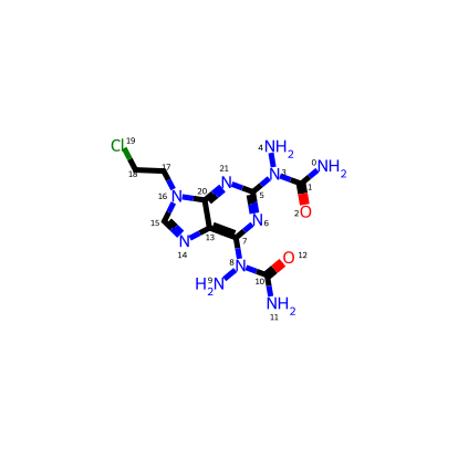 NC(=O)N(N)c1nc(N(N)C(N)=O)c2ncn(CCCl)c2n1